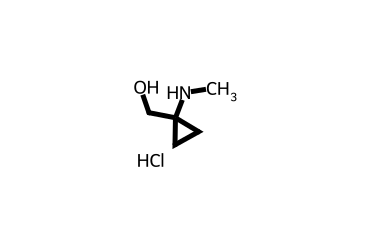 CNC1(CO)CC1.Cl